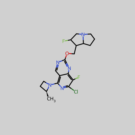 C[C@H]1CCN1c1nc(Cl)c(F)c2nc(OCC3C(F)CN4CCCC34)ncc12